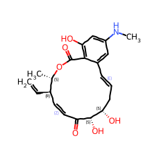 C=C[C@@H]1/C=C\C(=O)[C@@H](O)[C@@H](O)C/C=C/c2cc(NC)cc(O)c2C(=O)O[C@H]1C